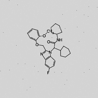 COc1ccccc1OCc1nc2cc(F)ccc2n1C(C(=O)NC1CCCCC1)C1CCCCC1